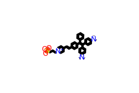 CN(C)c1ccc(C(=C(c2ccccc2)c2ccc(C=Cc3cc[n+](CCCS(=O)(=O)[O-])cc3)cc2)c2ccc(N(C)C)cc2)cc1